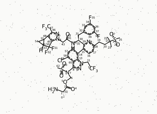 C[C@H](N)C(=O)OCN(c1nn(CC(F)(F)F)c2c(-c3ccc(CCC(C)(C)S(C)(=O)=O)nc3[C@H](Cc3cc(F)cc(F)c3)NC(=O)Cn3nc(C(F)(F)F)c4c3C(F)(F)[C@@H]3CC43)ccc(Cl)c12)S(C)(=O)=O